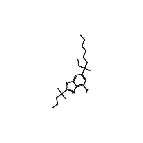 CCCCCCC(C)(CC)c1cc(F)c2nc(C(C)(C)CCC)sc2c1